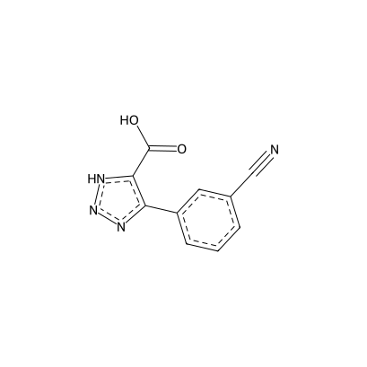 N#Cc1cccc(-c2nn[nH]c2C(=O)O)c1